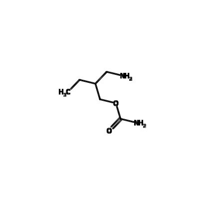 CCC(CN)COC(N)=O